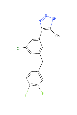 N#Cc1[nH]nnc1-c1cc(Cl)cc(Cc2ccc(F)c(F)c2)c1